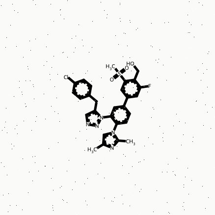 Cc1cn(-c2ccc(-c3cc(F)c(CO)c(S(C)(=O)=O)c3)cc2-n2nncc2Cc2ccc(Cl)cc2)c(C)n1